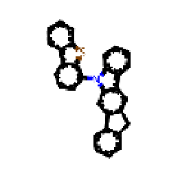 c1ccc2c(c1)Cc1cc3c4ccccc4n(-c4cccc5c4sc4ccccc45)c3cc1-2